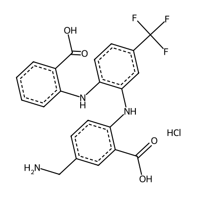 Cl.NCc1ccc(Nc2cc(C(F)(F)F)ccc2Nc2ccccc2C(=O)O)c(C(=O)O)c1